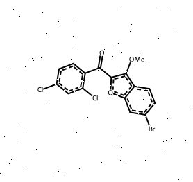 COc1c(C(=O)c2ccc(Cl)cc2Cl)oc2cc(Br)ccc12